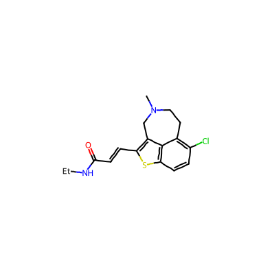 CCNC(=O)/C=C/c1sc2ccc(Cl)c3c2c1CN(C)CC3